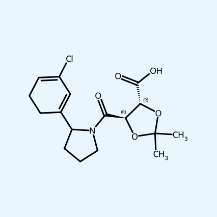 CC1(C)O[C@@H](C(=O)O)[C@H](C(=O)N2CCCC2C2=CC(Cl)=CCC2)O1